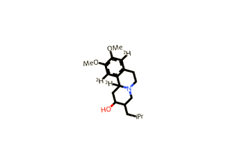 [2H]c1c2c(c([2H])c(OC)c1OC)C1([2H])CC(O)C(CC(C)C)CN1CC2